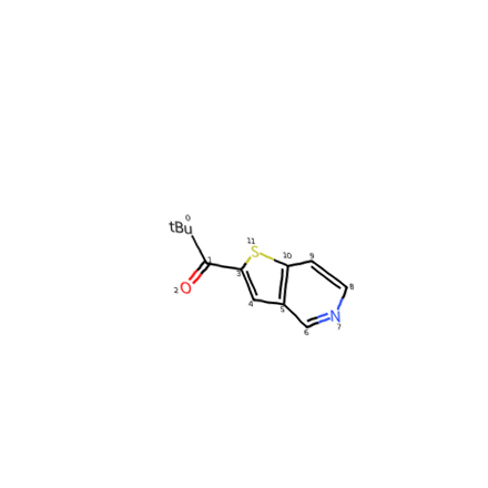 CC(C)(C)C(=O)c1cc2cnccc2s1